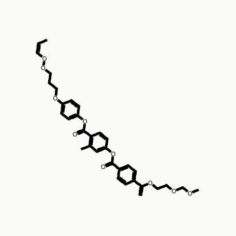 C=C(OCCOCOC)c1ccc(C(=O)Oc2ccc(C(=O)Oc3ccc(OCCCOO/C=C\C)cc3)c(C)c2)cc1